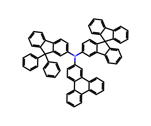 c1ccc(C2(c3ccccc3)c3ccccc3-c3ccc(N(c4ccc5c(c4)-c4ccccc4C54c5ccccc5-c5ccccc54)c4ccc5c6ccccc6c6ccccc6c5c4)cc32)cc1